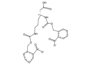 O=C(O)C[C@@H](CCCNC(=O)OCc1ccccc1[N+](=O)[O-])NC(=O)OCc1ccccc1[N+](=O)[O-]